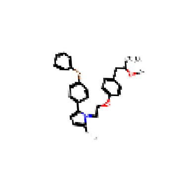 CCOC(=O)C(Cc1ccc(OCCn2c(C)ccc2-c2ccc(Sc3ccccc3)cc2)cc1)OCC